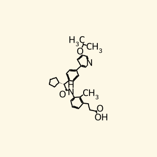 Cc1c(CCC(=O)O)cccc1NC(=O)[C@@H](c1ccc(-c2cncc(OC(C)C)c2)cc1)C1CCCC1